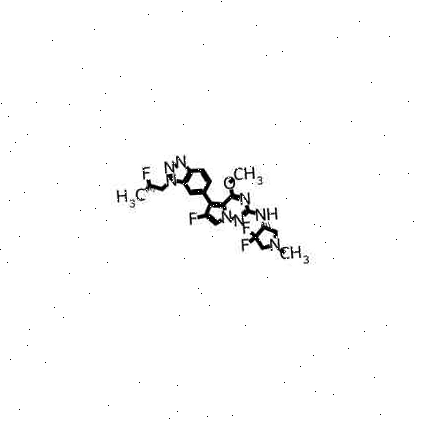 COc1nc(N[C@@H]2CN(C)CC2(F)F)nn2cc(F)c(-c3ccc4nnn(C[C@@H](C)F)c4c3)c12